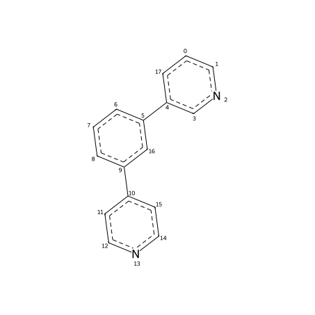 c1cncc(-c2cccc(-c3ccncc3)c2)c1